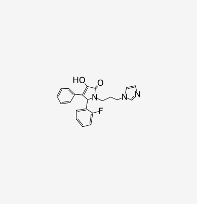 O=C1C(O)=C(c2ccccc2)C(c2ccccc2F)N1CCCn1ccnc1